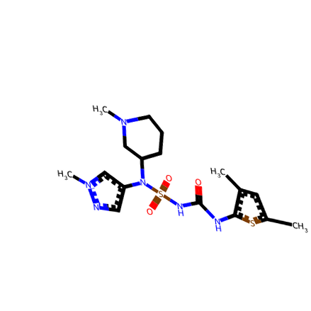 Cc1cc(C)c(NC(=O)NS(=O)(=O)N(c2cnn(C)c2)C2CCCN(C)C2)s1